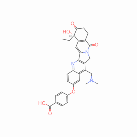 CC[C@@]1(O)C(=O)CCc2c1cc1n(c2=O)Cc2c-1nc1ccc(Oc3ccc(C(=O)O)cc3)cc1c2CN(C)C